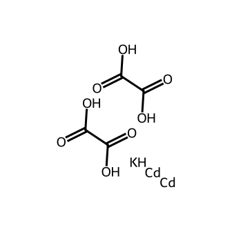 O=C(O)C(=O)O.O=C(O)C(=O)O.[Cd].[Cd].[KH]